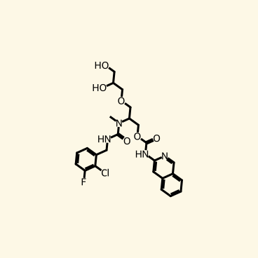 CN(C(=O)NCc1cccc(F)c1Cl)C(COCC(O)CO)COC(=O)Nc1cc2ccccc2cn1